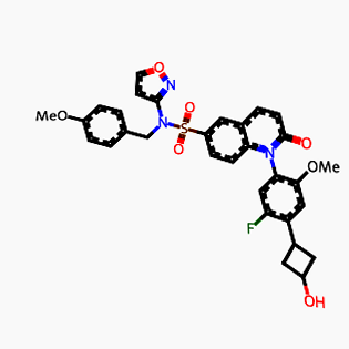 COc1ccc(CN(c2ccon2)S(=O)(=O)c2ccc3c(ccc(=O)n3-c3cc(F)c(C4CC(O)C4)cc3OC)c2)cc1